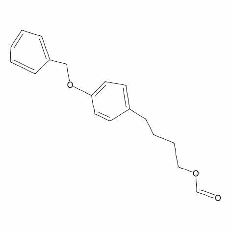 O=COCCCCc1ccc(OCc2ccccc2)cc1